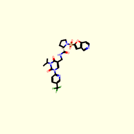 CC(C)n1c(=O)c(CNC(=O)[C@@H]2CCCN2S(=O)(=O)c2cc3cnccc3o2)cn(-c2ccc(C(F)(F)F)cn2)c1=O